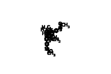 C=CCSC1=C(c2ccc(-c3cc(C(C)=O)cs3)cc2)C=CC(OC(OC2C=CC(c3ccc(-c4cc(C(C)=O)cs4)cc3)=C(SCC=C)C2(C)OCC)C(=O)O)C1(C)OCC